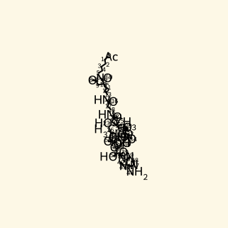 CC(=O)CCCCCN1C(=O)CC(SCCNC(=O)CCNC(=O)C(O)C(C)(C)COP(=O)(O)OP(=O)(O)OCC2OC(n3cnc4c(N)ncnc43)C(O)C2OP(=O)(O)O)C1=O